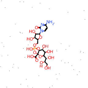 Nc1ccn(C2OC(COP(=O)(O)O[C@@]3(C(=O)O)C[C@@H](O)C(O)C([C@H](O)[C@H](O)CO)O3)C(O)C2O)c(=O)n1